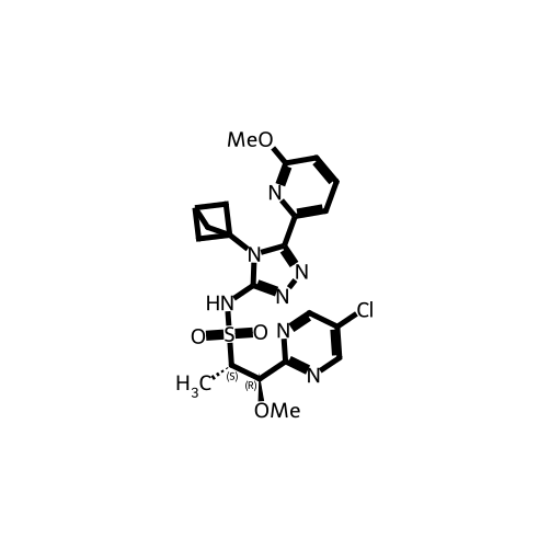 COc1cccc(-c2nnc(NS(=O)(=O)[C@@H](C)[C@H](OC)c3ncc(Cl)cn3)n2C23CC(C2)C3)n1